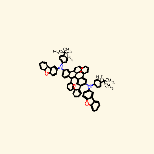 CC(C)(C)c1ccc(N(c2ccc3c(c2)C2C=CC=CC2O3)c2ccc3c(-c4ccccc4)c(-c4c(-c5ccccc5)cc(N(c5ccc(C(C)(C)C)cc5)c5ccc6oc7ccccc7c6c5)c5c4oc4ccccc45)c4ccccc4c3c2)cc1